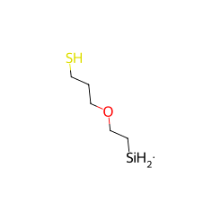 [SiH2]CCOCCCS